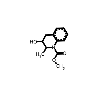 COC(=O)N1c2ccccc2CC(O)C1C